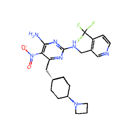 Nc1nc(NCc2cnccc2C(F)(F)F)nc(C[C@H]2CC[C@H](N3CCC3)CC2)c1[N+](=O)[O-]